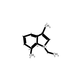 CCn1cc(C)c2cccc(C)c21